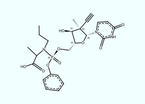 C#C[C@]1(C)[C@H](O)[C@@H](CO[P@@](=O)(Oc2ccccc2)N(CCC)C(C)C(=O)O)O[C@H]1n1ccc(=O)[nH]c1=O